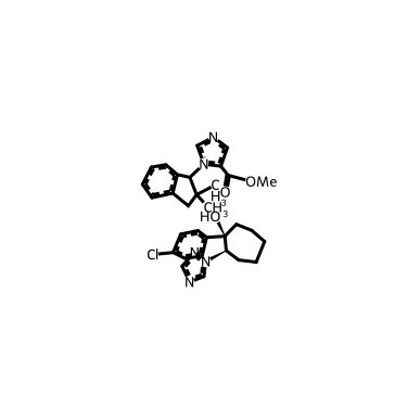 COC(=O)c1cncn1C1c2ccccc2CC1(C)C.O[C@@]1(c2ccc(Cl)cc2)CCCCC[C@H]1n1cncn1